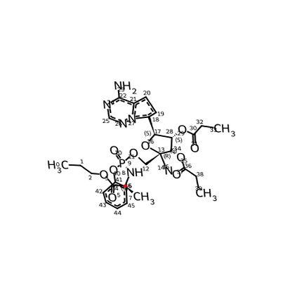 CCCOC(=O)[C@H](C)NP(=O)(OC[C@@]1(C#N)O[C@@H](c2ccc3c(N)ncnn23)[C@H](OC(=O)CC)[C@@H]1OC(=O)CC)Oc1ccccc1